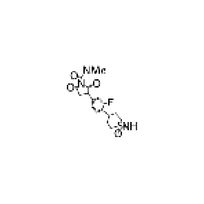 CNC(=O)N1C(=O)CC(c2ccc(C3CCS(=N)(=O)CC3)c(F)c2)C1=O